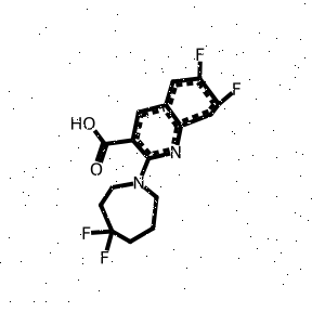 O=C(O)c1cc2cc(F)c(F)cc2nc1N1CCCC(F)(F)CC1